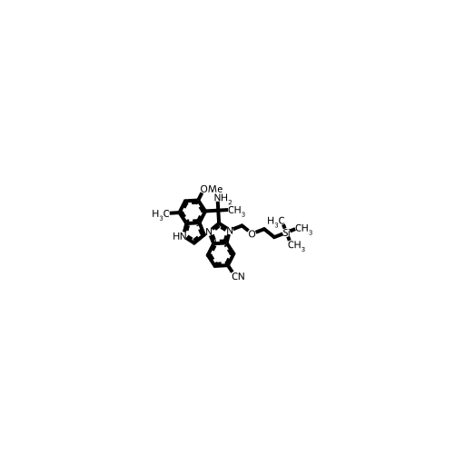 COc1cc(C)c2[nH]ccc2c1C(C)(N)c1nc2ccc(C#N)cc2n1COCC[Si](C)(C)C